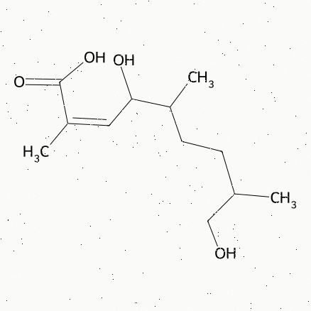 CC(=CC(O)C(C)CCC(C)CO)C(=O)O